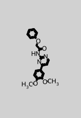 COc1ccc(-c2ccnc(NC(=O)COc3ccccc3)n2)cc1OC